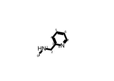 INCc1ccccn1